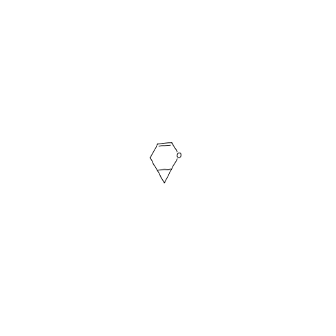 C1=COC2CC2C1